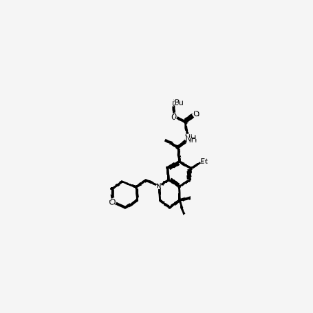 CCc1cc2c(cc1C(C)NC(=O)OC(C)(C)C)N(CC1CCOCC1)CCC2(C)C